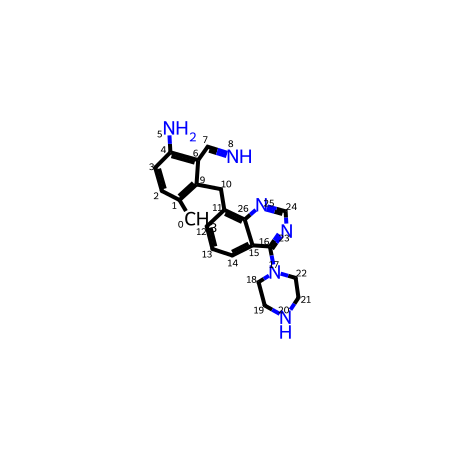 Cc1ccc(N)c(C=N)c1Cc1cccc2c(N3CCNCC3)ncnc12